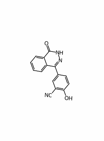 N#Cc1cc(-c2n[nH]c(=O)c3ccccc23)ccc1O